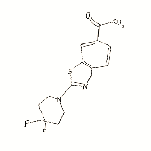 CC(=O)c1ccc2nc(N3CCC(F)(F)CC3)sc2c1